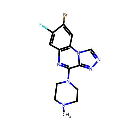 CN1CCN(c2nc3cc(F)c(Br)cc3n3cnnc23)CC1